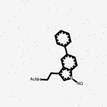 CC(=O)NCCc1cn(N=O)c2ccc(-c3ccccc3)cc12